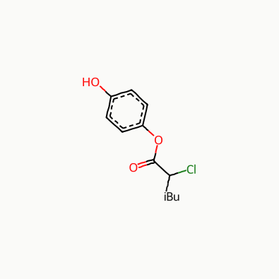 CCC(C)C(Cl)C(=O)Oc1ccc(O)cc1